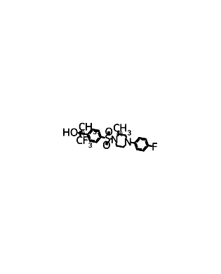 C[C@@H]1CN(c2ccc(F)cc2)CCN1S(=O)(=O)c1ccc([C@@](C)(O)C(F)(F)F)cc1